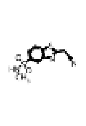 CNS(=O)(=O)c1ccc2sc(CC#N)nc2c1